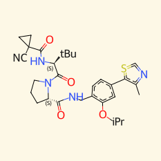 Cc1ncsc1-c1ccc(CNC(=O)[C@@H]2CCCN2C(=O)[C@@H](NC(=O)C2(C#N)CC2)C(C)(C)C)c(OC(C)C)c1